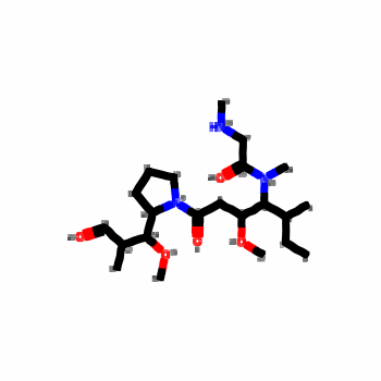 CCC(C)C(C(CC(=O)N1CCCC1C(OC)C(C)C=O)OC)N(C)C(=O)CNC